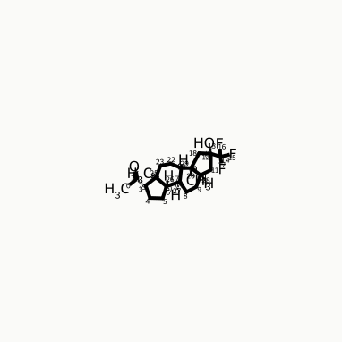 CC(=O)[C@H]1CC[C@H]2[C@@H]3CC[C@@H]4C[C@@](O)(C(F)(F)F)C[C@@]4(C)[C@H]3CC[C@]12C